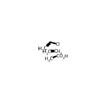 C=C.C=CCl.CC(=O)O